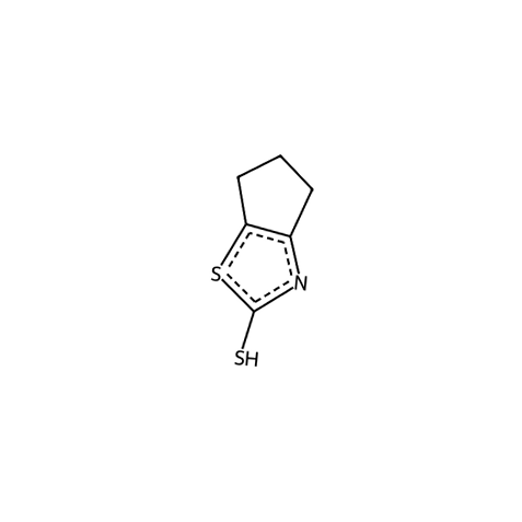 Sc1nc2c(s1)CCC2